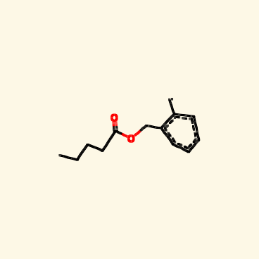 [CH2]c1ccccc1COC(=O)CCCC